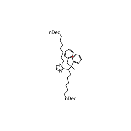 CCCCCCCCCCCCCCCCCn1ccnc1C(CCCCCCCCCCCCCCCC)C(C)(Cc1ccccc1)c1ccccc1